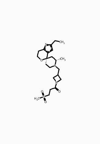 CCc1cc2c(s1)CCO[C@@]21CCN(CC2CN(C(=O)CCS(C)(=O)=O)C2)[C@@H](C)C1